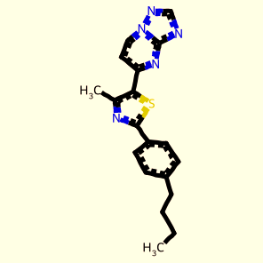 CCCCc1ccc(-c2nc(C)c(-c3ccn4ncnc4n3)s2)cc1